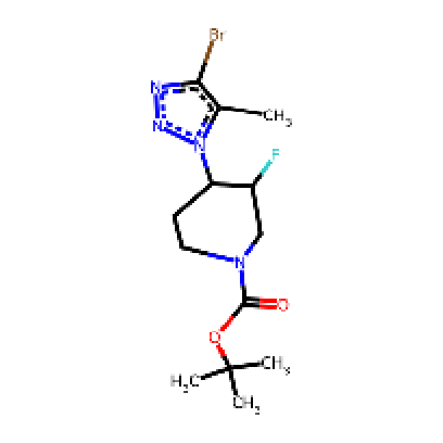 Cc1c(Br)nnn1C1CCN(C(=O)OC(C)(C)C)CC1F